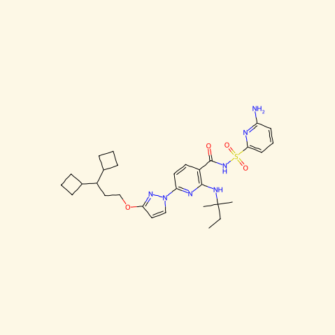 CCC(C)(C)Nc1nc(-n2ccc(OCCC(C3CCC3)C3CCC3)n2)ccc1C(=O)NS(=O)(=O)c1cccc(N)n1